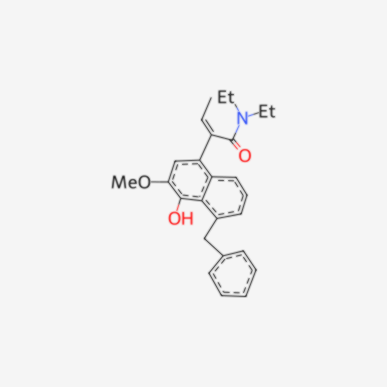 CC=C(C(=O)N(CC)CC)c1cc(OC)c(O)c2c(Cc3ccccc3)cccc12